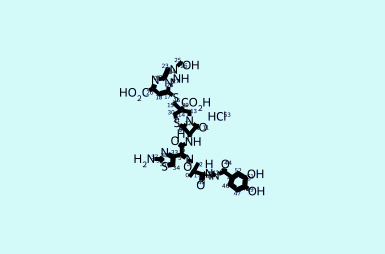 CC(C)(ON=C(C(=O)NC1C(=O)N2CC(CSC3=CC(C(=O)O)=NC4=CN(CO)NN43)(C(=O)O)CS[C@H]12)c1csc(N)n1)C(=O)NNC(=O)c1ccc(O)c(O)c1.Cl